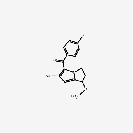 CSc1cc2n(c1C(=O)c1ccc(F)cc1)CCC2OC(=O)O